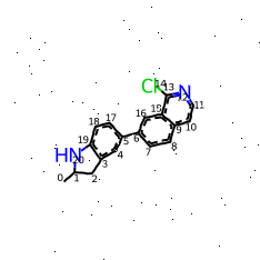 CC1Cc2cc(-c3ccc4ccnc(Cl)c4c3)ccc2N1